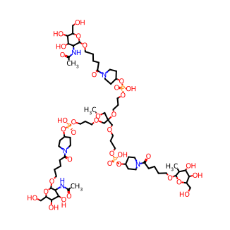 COCC(COCCCOP(=O)(O)OC1CCN(C(=O)CCCCOC2OC(CO)C(O)C(O)C2C)CC1)(COCCCOP(=O)(O)OC1CCN(C(=O)CCCCOC2OC(CO)C(O)C(O)C2NC(C)=O)CC1)OCCCOP(=O)(O)OC1CCN(C(=O)CCCCOC2OC(CO)C(O)C(O)C2NC(C)=O)CC1